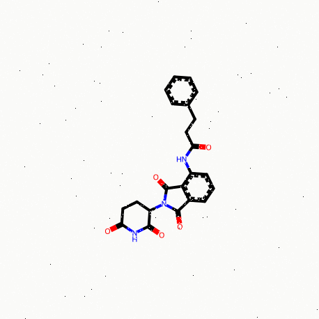 O=C1CCC(N2C(=O)c3cccc(NC(=O)CCc4ccccc4)c3C2=O)C(=O)N1